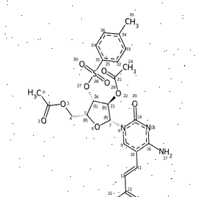 CC(=O)OC[C@H]1O[C@@H](n2cc(C=CC(=O)O)c(N)nc2=O)[C@H](OC(C)=O)[C@H]1OS(=O)(=O)c1ccc(C)cc1